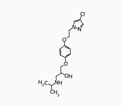 CC(C)NCC(O)COc1ccc(OCCn2cc(Cl)cn2)cc1